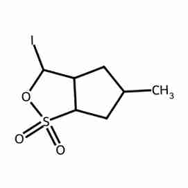 CC1CC2C(I)OS(=O)(=O)C2C1